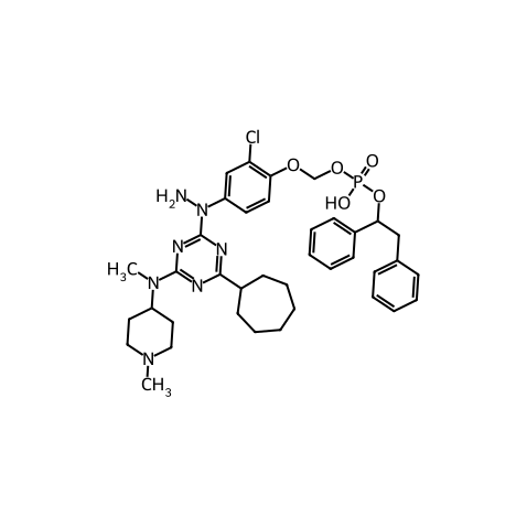 CN1CCC(N(C)c2nc(C3CCCCCC3)nc(N(N)c3ccc(OCOP(=O)(O)OC(Cc4ccccc4)c4ccccc4)c(Cl)c3)n2)CC1